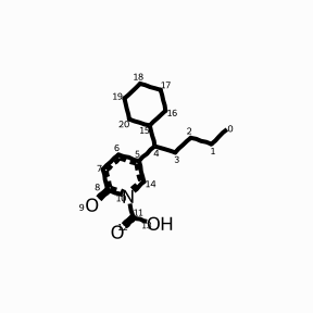 CCCCC(c1ccc(=O)n(C(=O)O)c1)C1CCCCC1